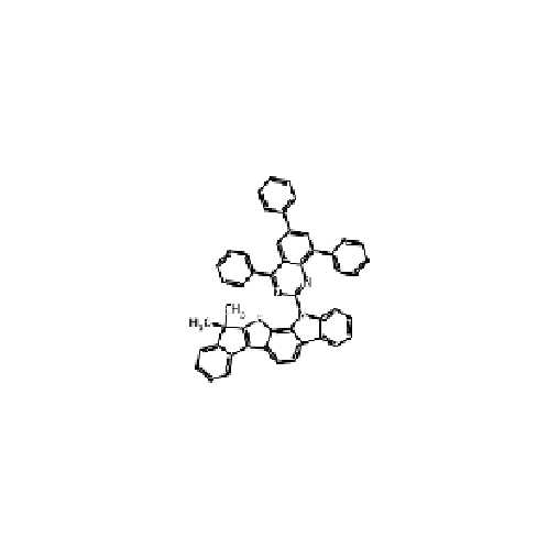 CC1(C)c2ccccc2-c2c1sc1c2ccc2c3ccccc3n(-c3nc(-c4ccccc4)c4cc(-c5ccccc5)cc(-c5ccccc5)c4n3)c21